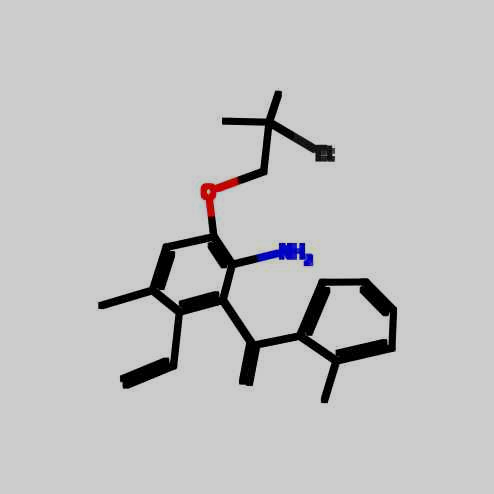 C=Cc1c(C)cc(OCC(C)(C)CC)c(N)c1C(=C)c1ccccc1C